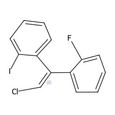 Fc1ccccc1/C(=C/Cl)c1ccccc1I